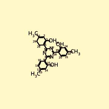 CC1=CC(O)=C(c2nc(-c3ccc(C)cc3O)nc(-c3ccc(C)cc3O)n2)CC1